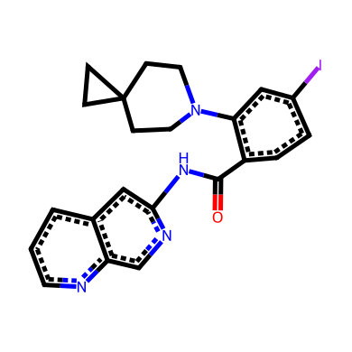 O=C(Nc1cc2cccnc2cn1)c1ccc(I)cc1N1CCC2(CC1)CC2